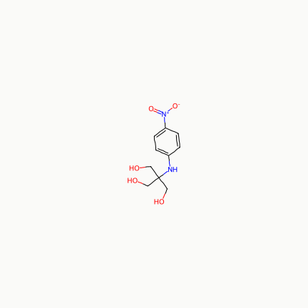 O=[N+]([O-])c1ccc(NC(CO)(CO)CO)cc1